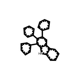 c1ccc(-c2cc3c([nH]c4ccccc43)c(-c3ccccc3)c2-c2ccccc2)cc1